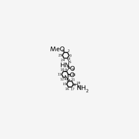 COc1ccc(CNC(=O)c2cccn(-c3cccc(CN)c3)c2=O)cc1